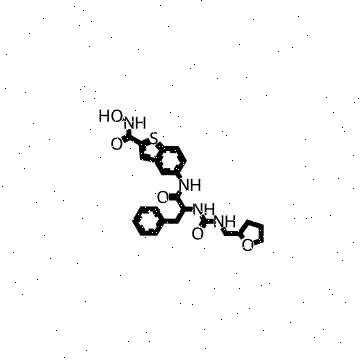 O=C(NCC1CCCO1)NC(Cc1ccccc1)C(=O)Nc1ccc2sc(C(=O)NO)cc2c1